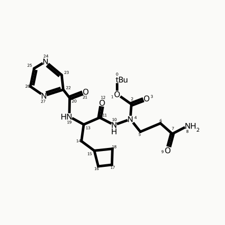 CC(C)(C)OC(=O)N(CCC(N)=O)NC(=O)C(CC1CCC1)NC(=O)c1cnccn1